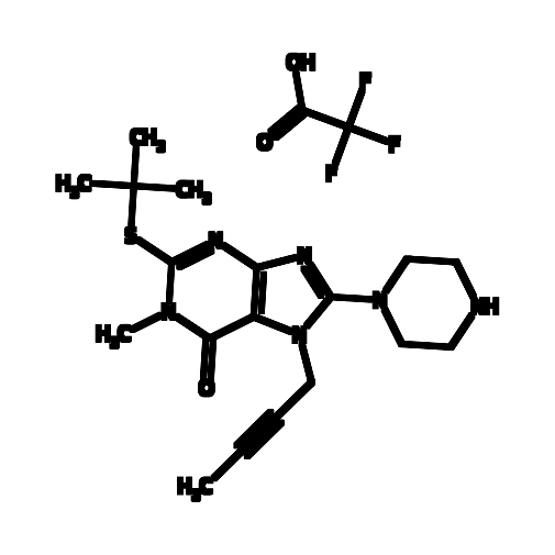 CC#CCn1c(N2CCNCC2)nc2nc(SC(C)(C)C)n(C)c(=O)c21.O=C(O)C(F)(F)F